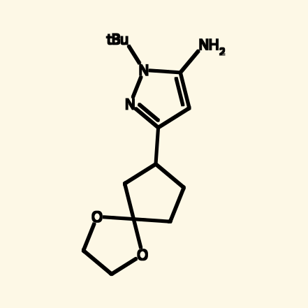 CC(C)(C)n1nc(C2CCC3(C2)OCCO3)cc1N